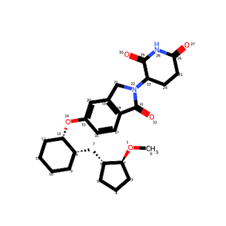 CO[C@H]1CCC[C@@H]1C[C@@H]1CCCC[C@@H]1Oc1ccc2c(c1)CN(C1CCC(=O)NC1=O)C2=O